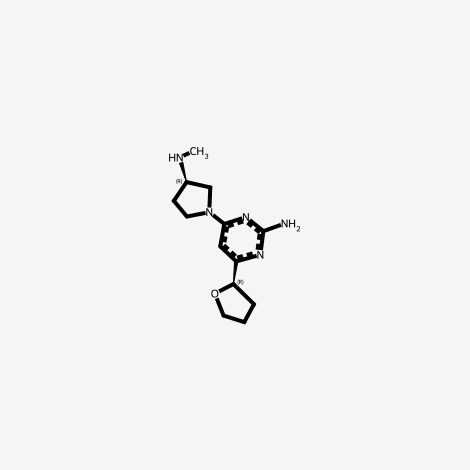 CN[C@@H]1CCN(c2cc([C@H]3CCCO3)nc(N)n2)C1